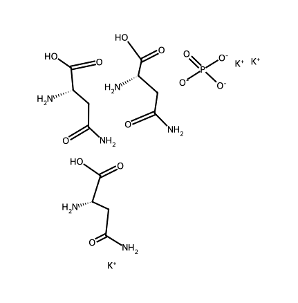 NC(=O)C[C@H](N)C(=O)O.NC(=O)C[C@H](N)C(=O)O.NC(=O)C[C@H](N)C(=O)O.O=P([O-])([O-])[O-].[K+].[K+].[K+]